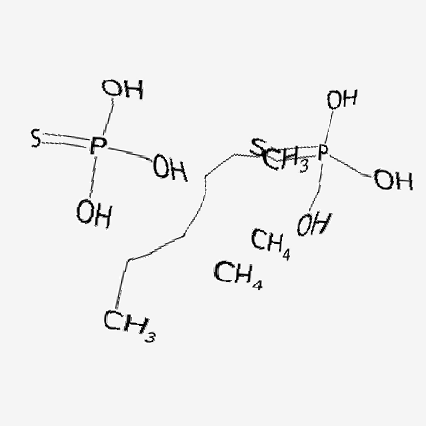 C.C.CCCCC.OP(O)(O)=S.OP(O)(O)=S